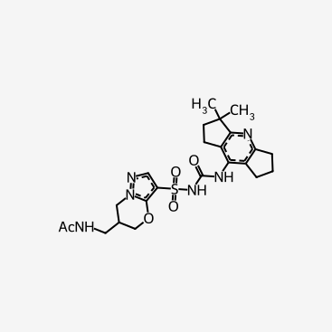 CC(=O)NCC1COc2c(S(=O)(=O)NC(=O)Nc3c4c(nc5c3CCC5(C)C)CCC4)cnn2C1